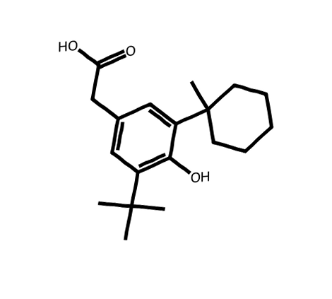 CC(C)(C)c1cc(CC(=O)O)cc(C2(C)CCCCC2)c1O